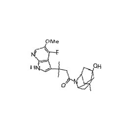 COc1cnc2[nH]cc(C(C)(C)CC(=O)N3C4CC5(C)CC3CC(O)(C4)C5)c2c1F